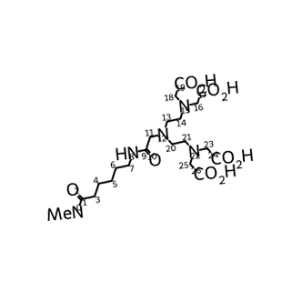 CNC(=O)CCCCCNC(=O)CN(CCN(CC(=O)O)CC(=O)O)CCN(CC(=O)O)CC(=O)O